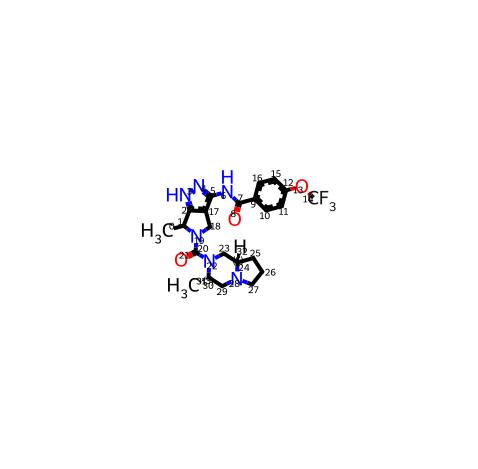 CC1c2[nH]nc(NC(=O)c3ccc(OC(F)(F)F)cc3)c2CN1C(=O)N1C[C@@H]2CCCN2C[C@@H]1C